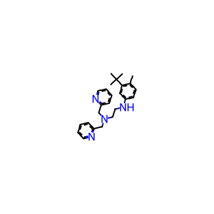 Cc1ccc(NCCN(Cc2ccccn2)Cc2ccccn2)cc1C(C)(C)C